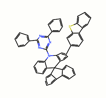 c1ccc(-c2nc(-c3ccccc3)nc(N3c4ccccc4C4(c5ccccc5-c5ccccc54)c4ccc(-c5ccc6c(c5)sc5ccccc56)cc43)n2)cc1